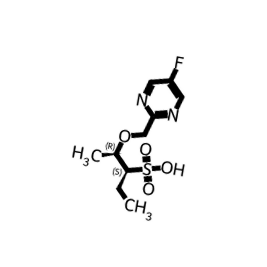 CC[C@@H]([C@@H](C)OCc1ncc(F)cn1)S(=O)(=O)O